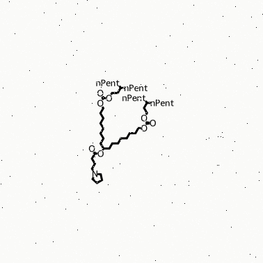 CCCCCC(CCCCC)CCOC(=O)OCCCCCCCCC(CCCCCCCCOC(=O)OCCC(CCCCC)CCCCC)OC(=O)CCCN1CCCC1